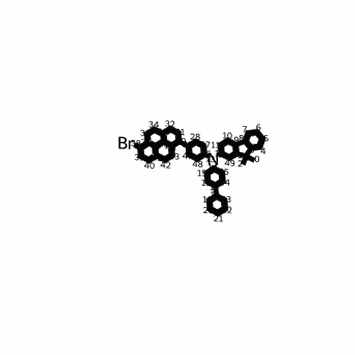 CC1(C)c2ccccc2-c2ccc(N(c3ccc(-c4ccccc4)cc3)c3ccc(-c4ccc5ccc6c(Br)ccc7ccc4c5c76)cc3)cc21